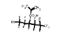 C=C(C)C(=O)O.CCC(F)(F)C(F)(F)C(F)(F)C(F)(F)C(F)(F)C(F)(F)F